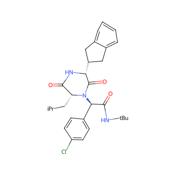 CC(C)C[C@@H]1C(=O)N[C@H](C2Cc3ccccc3C2)C(=O)N1[C@@H](C(=O)NC(C)(C)C)c1ccc(Cl)cc1